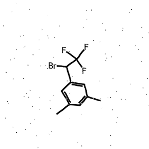 Cc1cc(C)cc(C(Br)C(F)(F)F)c1